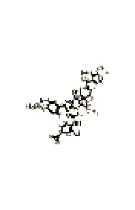 Cc1ncnc(C(=O)N2CCC3(CC2)CC(C)c2c3c(=O)n3nc(-c4ccc(CN(C)C)cc4F)nc3n2CC(=O)Nc2ccc(C3CC3)cc2Cl)c1O